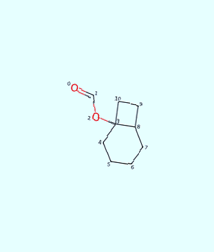 O=COC12CCCCC1CC2